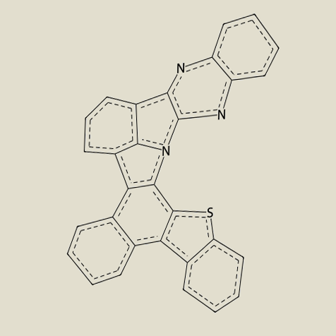 c1ccc2nc3c(nc2c1)c1cccc2c4c5ccccc5c5c6ccccc6sc5c4n3c12